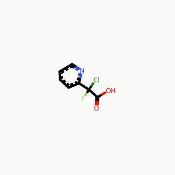 O=C(O)C(F)(Cl)c1ccccn1